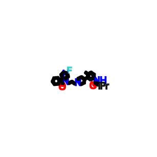 Cc1ccc(NC(=O)C(C)C)cc1C1CCN(CCCNC(=O)C2(c3ccc(F)cc3)CCCCC2)CC1